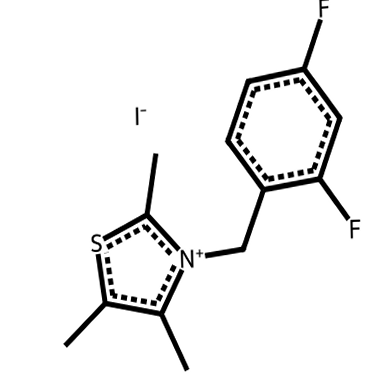 Cc1sc(C)[n+](Cc2ccc(F)cc2F)c1C.[I-]